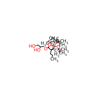 CCCC(=C[Si](O[Si](C)(C)C)(O[Si](C)(C)C)O[Si](C)(C)C)C(=O)OCC(O)CO